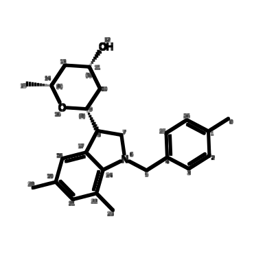 Cc1ccc(CN2CC([C@H]3C[C@@H](O)C[C@@H](C)O3)c3cc(C)cc(C)c32)cc1